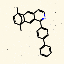 CC12C=CC(C)(CC1)C1C=c3c(-c4ccc(-c5ccccc5)cc4)nccc3=CC12